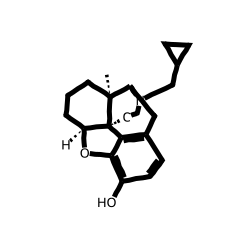 C[C@@]12CCC[C@@H]3Oc4c(O)ccc5c4[C@@]31CCN(CC1CC1)C2C5